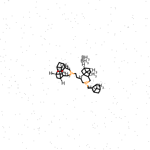 B.B.CC1(C)C2CCC(CP(CCCCP(CC3CCC4CC3C4(C)C)CC3CC[C@H]4C[C@@H]3C4(C)C)CC3CC[C@H]4C[C@@H]3C4(C)C)C1C2